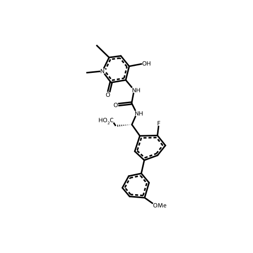 COc1cccc(-c2ccc(F)c([C@H](CC(=O)O)NC(=O)Nc3c(O)cc(C)n(C)c3=O)c2)c1